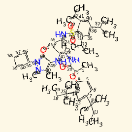 CCC(Oc1ccc(C(C)(C)CC)cc1C(C)(C)CC)C(=O)Nc1cc(NS(=O)(=O)c2c(C(C)C)cc(C(C)C)cc2C(C)C)ccc1Nc1c(C)n(C)n(-c2ccccc2)c1=O